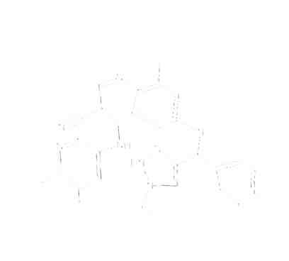 N#Cc1cnc2c(Cl)cc(NC(C3=CN(CF)NN3)c3ccc(F)cc3)cc2c1Nc1cnc(F)c(F)c1